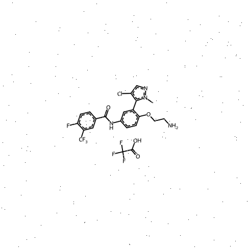 Cn1ncc(Cl)c1-c1cc(NC(=O)c2ccc(F)c(C(F)(F)F)c2)ccc1OCCN.O=C(O)C(F)(F)F